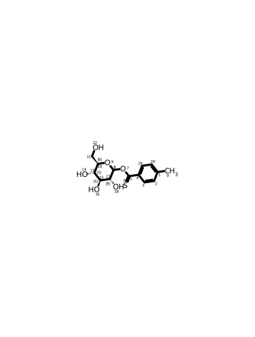 Cc1ccc(C(=S)OC2O[C@H](CO)[C@@H](O)[C@H](O)[C@H]2O)cc1